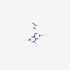 C/C=C(/C)C(C)(C)Nc1nc(NC)nc2c(NCCC)nc(NC)nc12